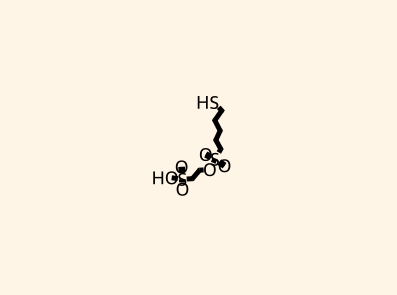 O=S(=O)(O)CCOS(=O)(=O)CCCCCS